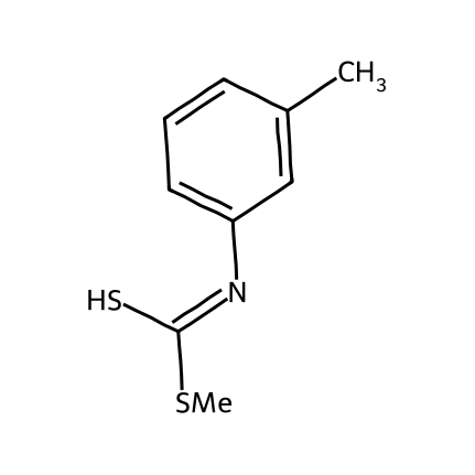 CS/C(S)=N/c1cccc(C)c1